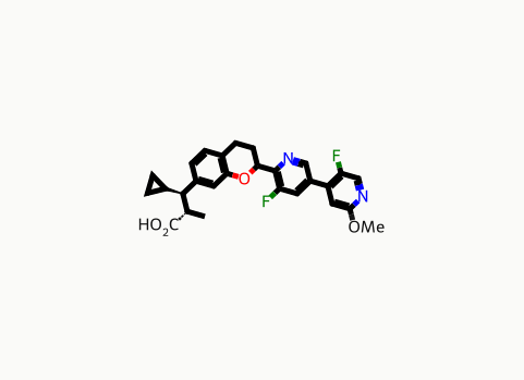 COc1cc(-c2cnc(C3CCc4ccc([C@H](C5CC5)[C@H](C)C(=O)O)cc4O3)c(F)c2)c(F)cn1